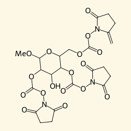 C=C1CCC(=O)N1OC(=O)OCC1OC(OC)C(OC(=O)ON2C(=O)CCC2=O)C(O)C1OC(=O)ON1C(=O)CCC1=O